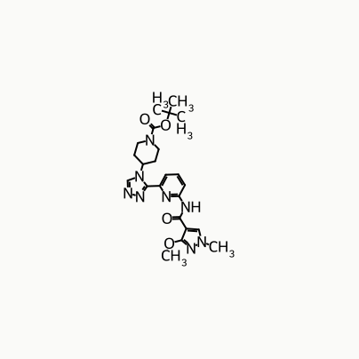 COc1nn(C)cc1C(=O)Nc1cccc(-c2nncn2C2CCN(C(=O)OC(C)(C)C)CC2)n1